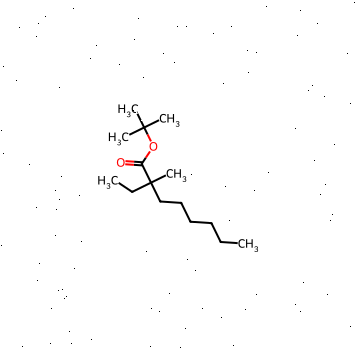 CCCCCCC(C)(CC)C(=O)OC(C)(C)C